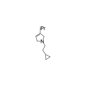 CC(C)C1=CCN(CCC2CC2)C1